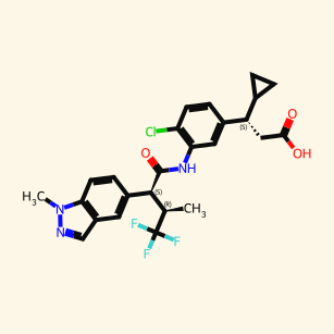 C[C@H]([C@H](C(=O)Nc1cc([C@@H](CC(=O)O)C2CC2)ccc1Cl)c1ccc2c(cnn2C)c1)C(F)(F)F